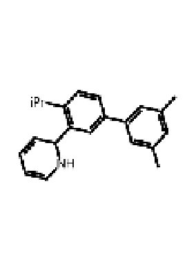 Cc1cc(C)cc(-c2ccc(C(C)C)c(C3C=CC=CN3)c2)c1